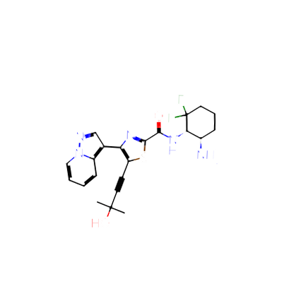 CC(C)(O)C#Cc1sc(C(=O)N[C@@H]2[C@H](N)CCCC2(F)F)nc1-c1cnn2ccccc12